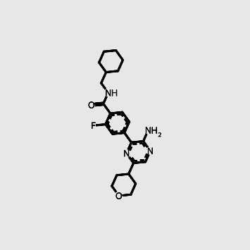 Nc1ncc(C2CCOCC2)nc1-c1ccc(C(=O)NCC2CCCCC2)c(F)c1